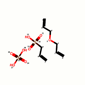 C=CCOCC=C.C=CCS(=O)(=O)O.O=S(=O)(O)O